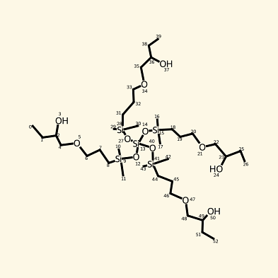 CCC(O)COCCC[Si](C)(C)O[Si](O[Si](C)(C)CCCOCC(O)CC)(O[Si](C)(C)CCCOCC(O)CC)O[Si](C)(C)CCCOCC(O)CC